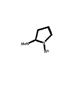 CCCN1CCCC1NC